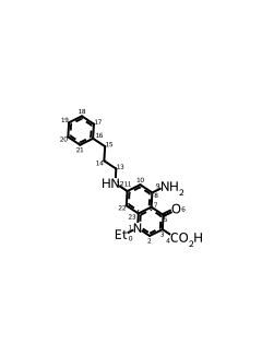 CCn1cc(C(=O)O)c(=O)c2c(N)cc(NCCCc3ccccc3)cc21